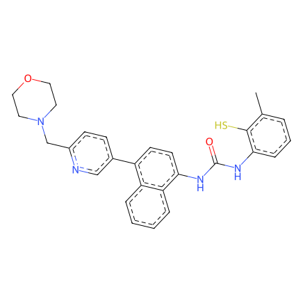 Cc1cccc(NC(=O)Nc2ccc(-c3ccc(CN4CCOCC4)nc3)c3ccccc23)c1S